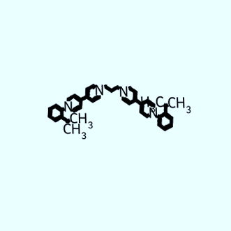 CC(C)c1ccccc1N1C=CC(c2cc[n+](CCC[n+]3ccc(C4=CCN(c5ccccc5C(C)C)C=C4)cc3)cc2)=CC1